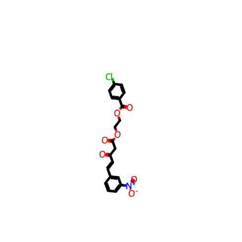 O=C(C=Cc1cccc([N+](=O)[O-])c1)CC(=O)OCCOC(=O)c1ccc(Cl)cc1